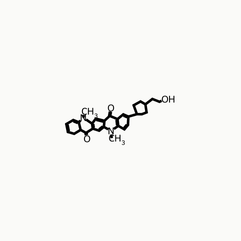 CN1C2=CC=CCC2C(=O)c2cc3c(cc21)c(=O)c1cc(C2CCC(CCO)CC2)ccc1n3C